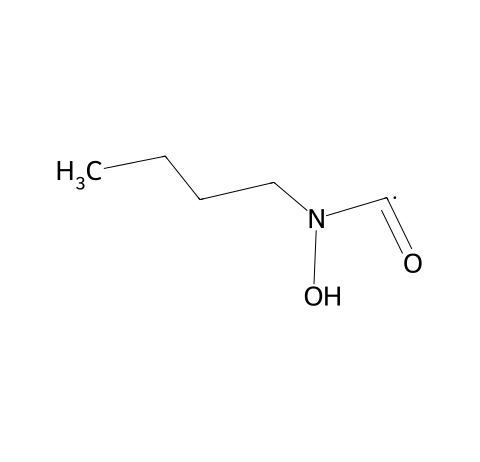 CCCCN(O)[C]=O